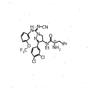 CCN(C(=O)[C@H](N)CC(C)C)C1CN(/C(=N\C#N)Nc2cccc(OC(F)(F)F)c2)N=C1c1ccc(Cl)c(Cl)c1